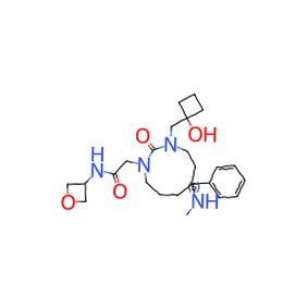 CN[C@@]1(c2ccccc2)CCCN(CC(=O)NC2COC2)C(=O)N(CC2(O)CCC2)CC1